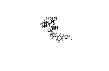 C=Cc1cccc(-c2cnc(C(=O)N[C@@H]3C[C@@H](Cn4ccnn4)N(C(=O)O)C3)o2)c1